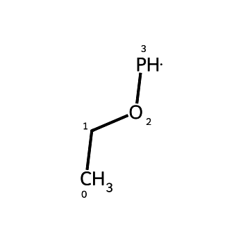 CCO[PH]